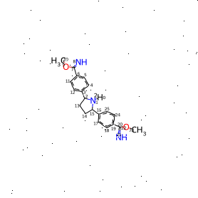 [2H]N1C(c2ccc(C(=N)OC)cc2)CCC1c1ccc(C(=N)OC)cc1